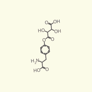 NC(Cc1ccc(OC(=O)C(O)C(O)C(=O)O)cc1)C(=O)O